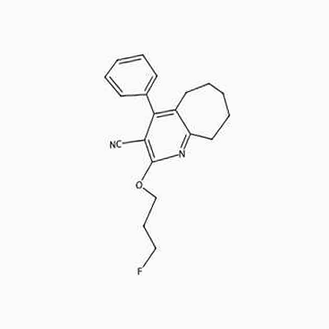 N#Cc1c(OCCCF)nc2c(c1-c1ccccc1)CCCCC2